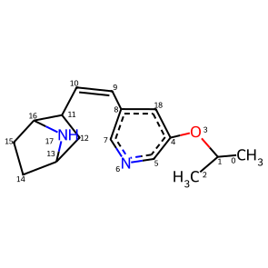 CC(C)Oc1cncc(/C=C\C2CC3CCC2N3)c1